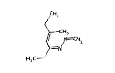 C=N/N=C(\C=C(/C)CC)CC